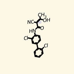 C/C(O)=C(\C#N)C(=O)Nc1ccc(-c2ccccc2Cl)cc1Cl